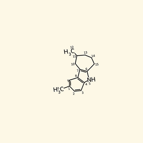 Cc1ccc2[nH]c3c(c2c1)CC(C)CCC3